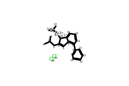 CC(C)CC1=Cc2c(-c3ccccc3)cccc2[CH]1[Zr+2][Si](C)C.[Cl-].[Cl-]